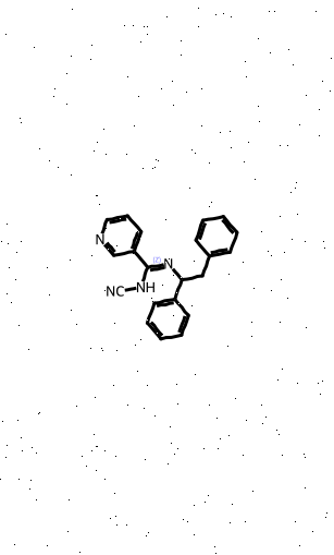 N#CN/C(=N\C(Cc1ccccc1)c1ccccc1)c1cccnc1